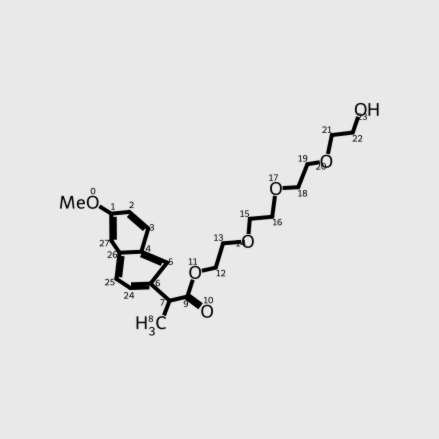 COc1ccc2cc(C(C)C(=O)OCCOCCOCCOCCO)ccc2c1